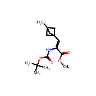 COC(=O)C(=CC12CC(C)(C1)C2)NC(=O)OC(C)(C)C